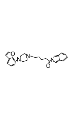 O=C(CCCCCN1CCN(c2cccc3ccoc23)CC1)n1cc2ccccc2c1